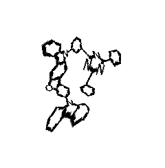 c1ccc(-c2nc(-c3ccccc3)nc(-c3cccc(-n4c5ccccc5c5cc6oc7cc(-n8c9ccccc9c9ccccc98)ccc7c6cc54)c3)n2)cc1